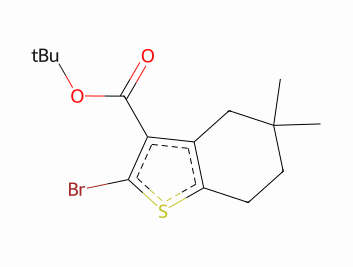 CC1(C)CCc2sc(Br)c(C(=O)OC(C)(C)C)c2C1